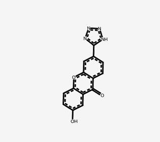 O=c1c2ccc(-c3nnn[nH]3)cc2oc2ccc(O)cc12